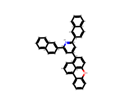 c1ccc2c(c1)Oc1ccc(-c3cc(-c4ccc5ccccc5c4)nc(-c4ccc5ccccc5c4)c3)c3cccc-2c13